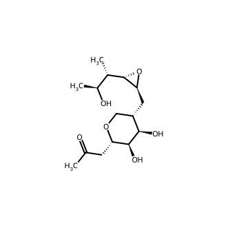 CC(=O)C[C@@H]1OC[C@H](C[C@@H]2O[C@H]2[C@@H](C)[C@H](C)O)[C@@H](O)[C@H]1O